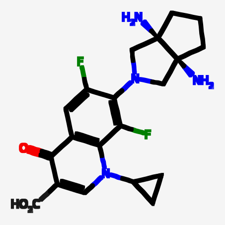 N[C@@]12CCC[C@]1(N)CN(c1c(F)cc3c(=O)c(C(=O)O)cn(C4CC4)c3c1F)C2